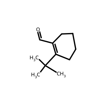 CC(C)(C)C1=C(C=O)CCCC1